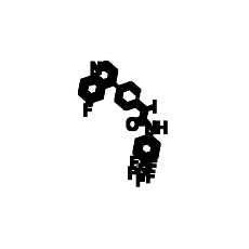 O=C(Nc1ccc(S(F)(F)(F)(F)F)cc1)[C@H](I)[C@H]1CC[C@@H](c2ccnc3ccc(F)cc32)CC1